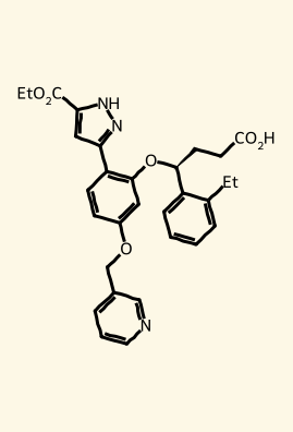 CCOC(=O)c1cc(-c2ccc(OCc3cccnc3)cc2O[C@@H](CCC(=O)O)c2ccccc2CC)n[nH]1